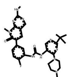 CNc1ncc2cc(-c3ccc(F)c(NC(=O)Nc4cnc(C(C)(C)C)nc4N4CCN(C)CC4)c3)c(=O)n(C)c2n1